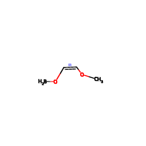 BO/C=C\OC